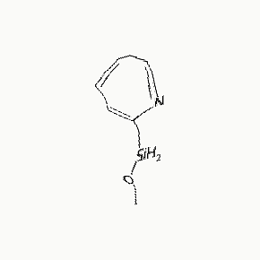 CO[SiH2]c1ccccn1